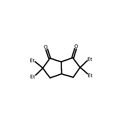 CCC1(CC)CC2CC(CC)(CC)C(=O)C2C1=O